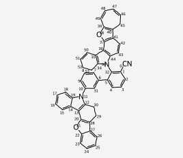 N#Cc1cccc(-c2cccc(-n3c4c(c5ccccc53)-c3oc5ccccc5c3CC4)c2)c1-n1c2c(c3c4oc5c(c4ccc31)CC=CC=C5)C=CCC2